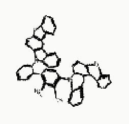 N#Cc1c(-c2ccccc2-n2c3ccccc3c3c4c(ccc32)oc2ccccc24)ccc(-n2c3ccccc3c3c4c(ccc32)oc2ccccc24)c1C#N